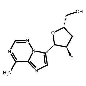 Nc1ncnn2c([C@@H]3O[C@H](CO)C[C@H]3F)cnc12